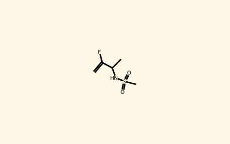 C=C(F)C(C)NS(C)(=O)=O